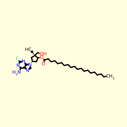 C#C[C@]1(CO)C[C@@H](n2cnc3c(N)nc(F)nc32)CC1OC(=O)CCCCCCCCCCCCCCCCCCC